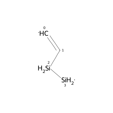 [CH]=C[SiH2][SiH2]